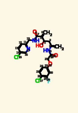 C=C(CC(O)C(=C)C(=O)NCc1ccc(Cl)cn1)NC(=O)COc1ccc(Cl)c(F)c1